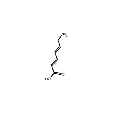 NC/C=C/C=C/C(=O)O